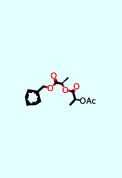 CC(=O)O[C@@H](C)C(=O)O[C@H](C)C(=O)OCc1ccccc1